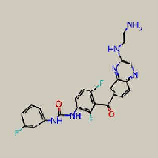 NCCNc1cnc2ccc(C(=O)c3c(F)ccc(NC(=O)Nc4cccc(F)c4)c3F)cc2n1